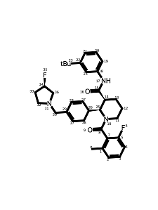 Cc1cccc(F)c1C(=O)N1CCC[C@H](C(=O)Nc2cccc(C(C)(C)C)c2)[C@@H]1C1C=CC(CN2CC[C@@H](F)C2)=CC1